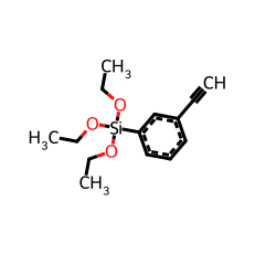 C#Cc1cccc([Si](OCC)(OCC)OCC)c1